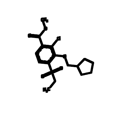 CCS(=O)(=O)c1ccc(C(=O)OC)c(Cl)c1OCC1CCCC1